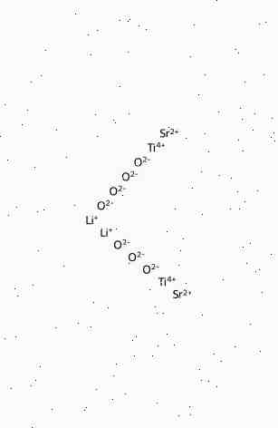 [Li+].[Li+].[O-2].[O-2].[O-2].[O-2].[O-2].[O-2].[O-2].[Sr+2].[Sr+2].[Ti+4].[Ti+4]